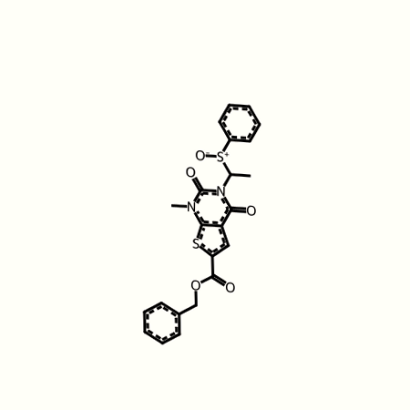 CC(n1c(=O)c2cc(C(=O)OCc3ccccc3)sc2n(C)c1=O)[S+]([O-])c1ccccc1